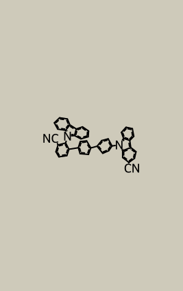 N#Cc1ccc2c3ccccc3n(-c3ccc(-c4ccc(-c5cccc(C#N)c5-n5c6ccccc6c6ccccc65)cc4)cc3)c2c1